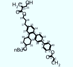 C=CC(=O)Oc1ccc(-c2ccc(-c3ccc(CCCOC(=O)C(=C)CO)cc3C3CCC(OCCCC)CC3)cc2)cc1